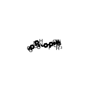 CC(C)(c1ccc(-c2ccc(CNC(=O)c3cccnc3Oc3ccc4c(c3)OCO4)cc2)c(F)c1)c1nnn[nH]1